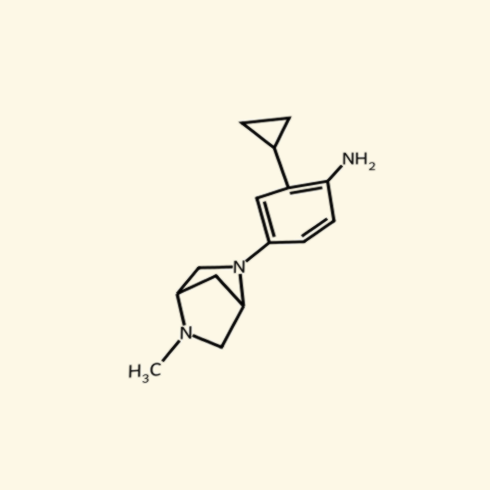 CN1CC2CC1CN2c1ccc(N)c(C2CC2)c1